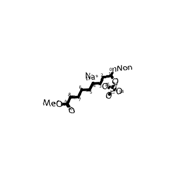 CCCCCCCCCC(CCCCCCCC(=O)OC)OS(=O)(=O)[O-].[Na+]